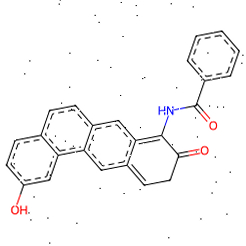 O=C1CC=c2cc3c(ccc4ccc(O)cc43)cc2=C1NC(=O)c1ccccc1